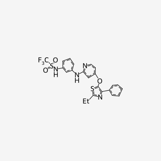 CCc1nc(-c2ccccc2)c(Oc2ccnc(Nc3cccc(NS(=O)(=O)C(F)(F)F)c3)c2)s1